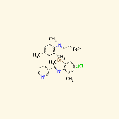 CC(=Nc1c(C)cccc1Br)c1cccnc1.Cc1cc(C)c(N=C[CH2][Fe+2])c(C)c1.[Cl-].[Cl-]